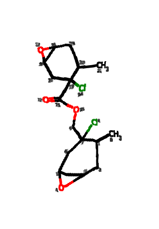 CC1CC2OC2CC1(Cl)COC(=O)C1(Cl)CC2OC2CC1C